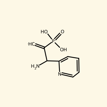 [CH]=C(C(N)c1ccccn1)P(=O)(O)O